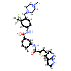 Cc1ccc(C(=O)Nc2ccc(CN3CCN(C)CC3)c(C(F)(F)F)c2)cc1NC(=O)c1cc2cnc3[nH]ccc3c2s1